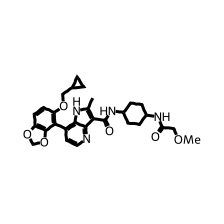 COCC(=O)NC1CCC(NC(=O)c2c(C)[nH]c3c(-c4c(OCC5CC5)ccc5c4OCO5)ccnc23)CC1